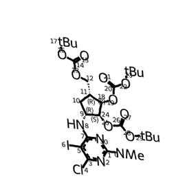 CNc1nc(Cl)c(I)c(N[C@@H]2C[C@H](COC(=O)OC(C)(C)C)[C@@H](OC(=O)OC(C)(C)C)[C@H]2OC(=O)OC(C)(C)C)n1